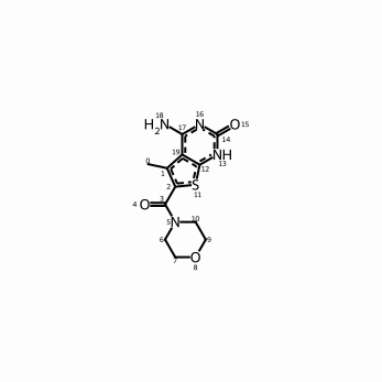 Cc1c(C(=O)N2CCOCC2)sc2[nH]c(=O)nc(N)c12